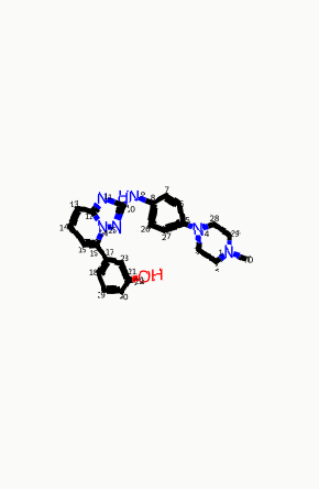 CN1CCN(c2ccc(Nc3nc4cccc(-c5cccc(O)c5)n4n3)cc2)CC1